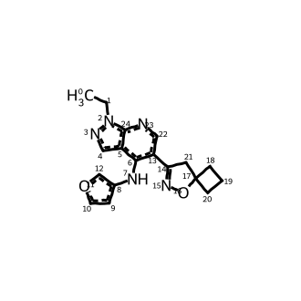 CCn1ncc2c(Nc3ccoc3)c(C3=NOC4(CCC4)C3)cnc21